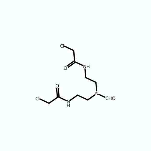 O=CN(CCNC(=O)CCl)CCNC(=O)CCl